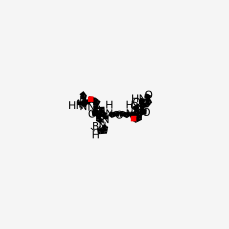 CBC1CCCN1C1=NC(NCCOCCNC2CC=CC3=C2C(=O)N(C2CCC(=O)NC2=O)C3=O)=C2CN(c3cccc(C4=NNCN4CC)n3)C(=O)C2C1